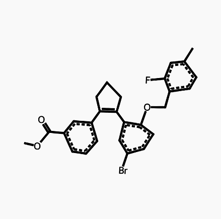 COC(=O)c1cccc(C2=C(c3cc(Br)ccc3OCc3ccc(C)cc3F)CCC2)c1